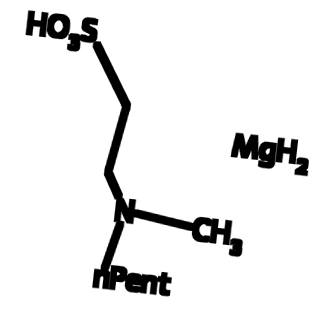 CCCCCN(C)CCS(=O)(=O)O.[MgH2]